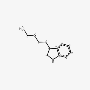 CCOCCC1CNc2ccccc21